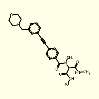 CNC(=O)C(C(=O)NO)N(C)C(=O)c1ccc(C#Cc2cccc(CN3CCOCC3)c2)cc1